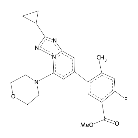 COC(=O)c1cc(-c2cc(N3CCOCC3)n3nc(C4CC4)nc3c2)c(C)cc1F